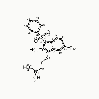 Cc1c(SCCN(C)C)c2cc(F)ccc2n1S(=O)(=O)c1ccccc1